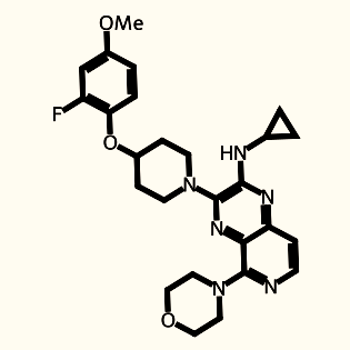 COc1ccc(OC2CCN(c3nc4c(N5CCOCC5)nccc4nc3NC3CC3)CC2)c(F)c1